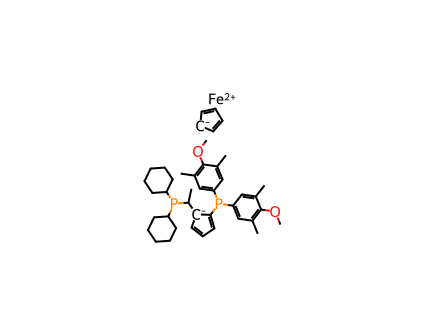 COc1c(C)cc(P(c2cc(C)c(OC)c(C)c2)c2ccc[c-]2C(C)P(C2CCCCC2)C2CCCCC2)cc1C.[Fe+2].c1cc[cH-]c1